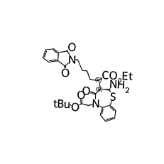 CCOC(=O)[C@H](CCCCN1C(=O)c2ccccc2C1=O)[C@@H]1C(=O)N(CC(=O)OC(C)(C)C)c2ccccc2SC1N